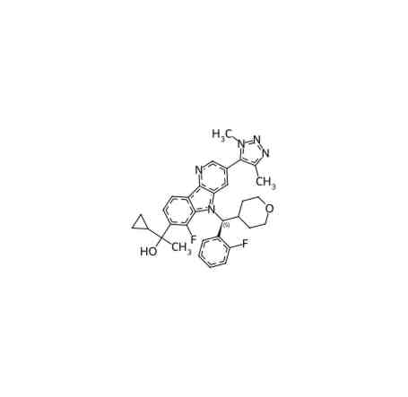 Cc1nnn(C)c1-c1cnc2c3ccc(C(C)(O)C4CC4)c(F)c3n([C@H](c3ccccc3F)C3CCOCC3)c2c1